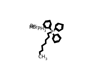 Br.CCCCCCCC[P+](c1ccccc1)(c1ccccc1)c1ccccc1.P.[Br-]